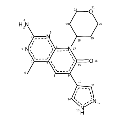 Cc1nc(N)nc2c1cc(-c1cn[nH]c1)c(=O)n2C1CCOCC1